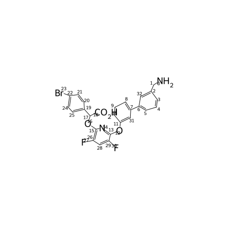 NCc1cccc(-c2cccc(Oc3nc(OC(C(=O)O)c4ccc(Br)cc4)c(F)cc3F)c2)c1